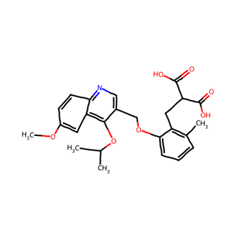 COc1ccc2ncc(COc3cccc(C)c3CC(C(=O)O)C(=O)O)c(OC(C)C)c2c1